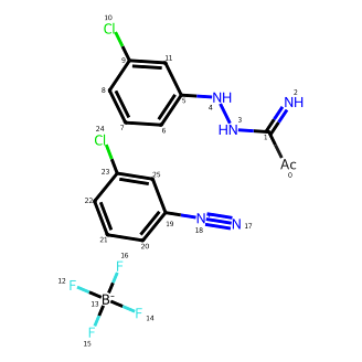 CC(=O)C(=N)NNc1cccc(Cl)c1.F[B-](F)(F)F.N#[N+]c1cccc(Cl)c1